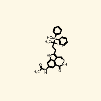 CC(=O)Nc1cc2c3c(c(CCC(C)(C)[Si](O)(c4ccccc4)c4ccccc4)[nH]c3c1)C=NNC2=O